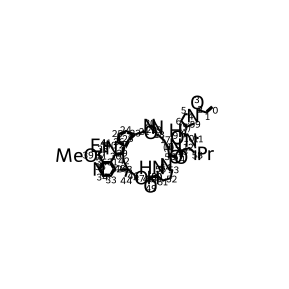 C=CC(=O)N1CC[C@H](C(=O)N(C)C(C(=O)N[C@H]2Cc3nnc(o3)-c3ccc4c(c3)c(c(-c3cccnc3[C@H](C)OC)n4CC)CC(C)(C)COC(=O)[C@@H]3CCCN(N3)C2=O)C(C)C)C1